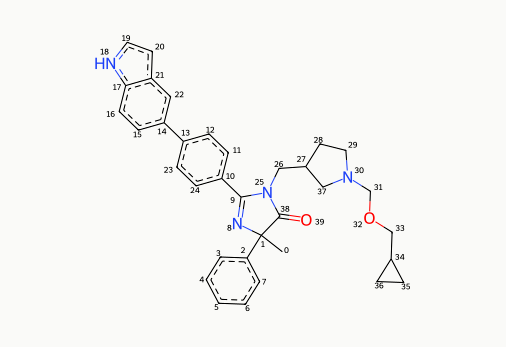 CC1(c2ccccc2)N=C(c2ccc(-c3ccc4[nH]ccc4c3)cc2)N(CC2CCN(COCC3CC3)C2)C1=O